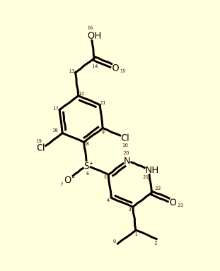 CC(C)c1cc([S+]([O-])c2c(Cl)cc(CC(=O)O)cc2Cl)n[nH]c1=O